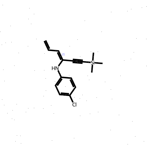 C=C/C=C(/C#C[Si](C)(C)C)Nc1ccc(Cl)cc1